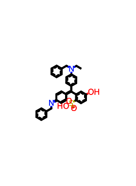 CCN(Cc1ccccc1)c1ccc(C(=C2C=CC(=NCc3ccccc3)C=C2)c2cc(O)ccc2S(=O)(=O)O)cc1